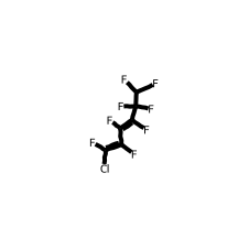 F/C(Cl)=C(F)\C(F)=C(/F)C(F)(F)C(F)F